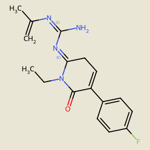 C=C(C)/N=C(N)\N=C1/CC=C(c2ccc(F)cc2)C(=O)N1CC